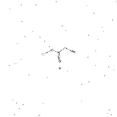 CCOC(=O)CC(C)=O.[Ti]